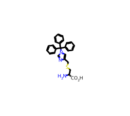 NC(CSCc1cn(C(c2ccccc2)(c2ccccc2)c2ccccc2)cn1)C(=O)O